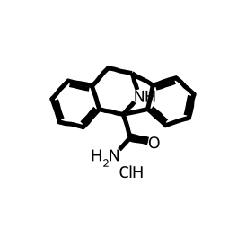 Cl.NC(=O)C12NC(Cc3ccccc31)c1ccccc12